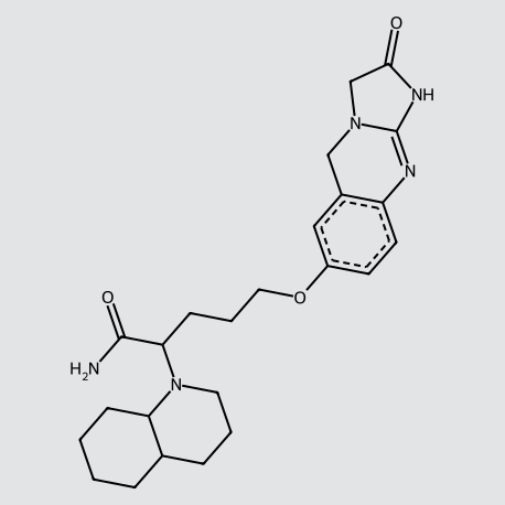 NC(=O)C(CCCOc1ccc2c(c1)CN1CC(=O)NC1=N2)N1CCCC2CCCCC21